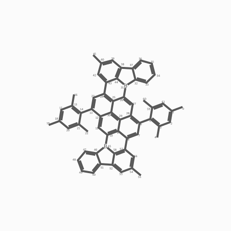 Cc1cc(C)c(-c2cc3c4c(cc5c(-c6c(C)cc(C)cc6C)cc6c7c(cc2c4c57)B2c4ccccc4-c4cc(C)cc-6c42)B2c4ccccc4-c4cc(C)cc-3c42)c(C)c1